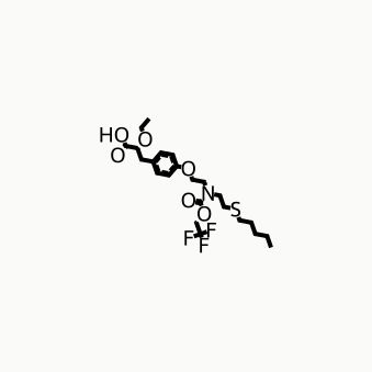 CCCCCSCCN(CCOc1ccc(CC(OCC)C(=O)O)cc1)C(=O)OCC(F)(F)F